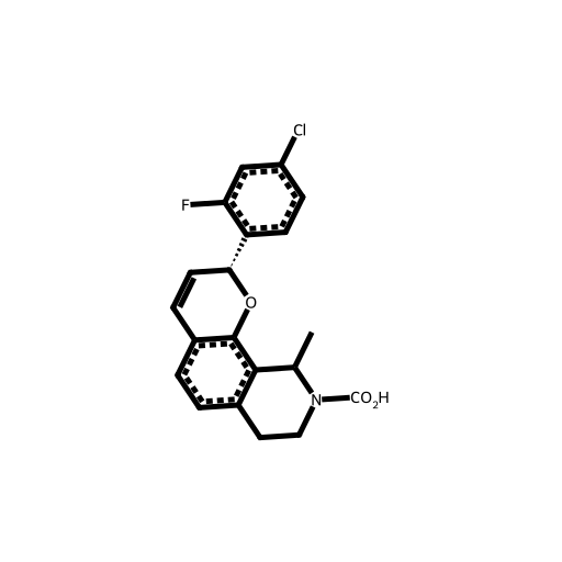 CC1c2c(ccc3c2O[C@@H](c2ccc(Cl)cc2F)C=C3)CCN1C(=O)O